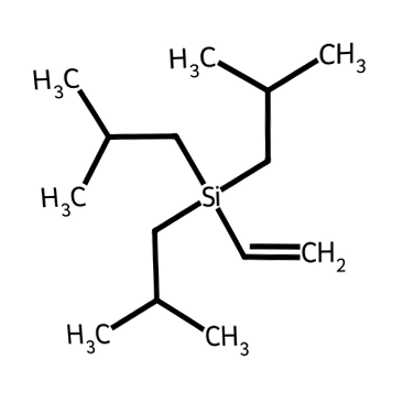 C=C[Si](CC(C)C)(CC(C)C)CC(C)C